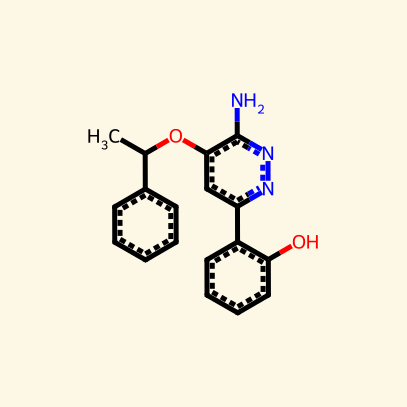 CC(Oc1cc(-c2ccccc2O)nnc1N)c1ccccc1